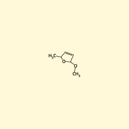 COC1C=CC(C)O1